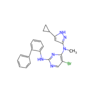 CN(c1cc(C2CC2)[nH]n1)c1nc(Nc2ccccc2-c2ccccc2)ncc1Br